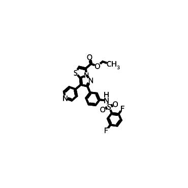 CCOC(=O)c1csc2c(-c3ccncc3)c(-c3cccc(NS(=O)(=O)c4cc(F)ccc4F)c3)nn12